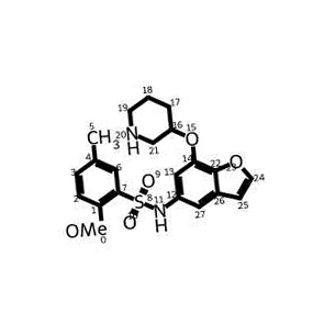 COc1ccc(C)cc1S(=O)(=O)Nc1cc(OC2CCCNC2)c2occc2c1